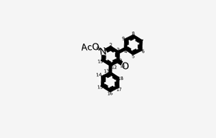 CC(=O)On1cc(-c2ccccc2)c(=O)c(-c2ccccc2)c1